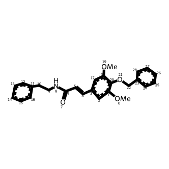 COc1cc(C=CC(=O)NCCc2ccccc2)cc(OC)c1OCc1ccccc1